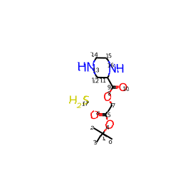 CC(C)(C)OC(=O)COC(=O)C1CNCCN1.S